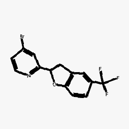 FC(F)(F)c1ccc2c(c1)CC(c1cc(Br)ccn1)O2